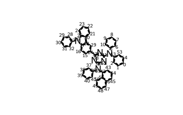 c1ccc(N(c2ccccc2)c2nc(-c3ccc4c(c3)c3ccccc3n4-c3ccccc3)nc(N(c3ccccc3)c3cccc4ccccc34)n2)cc1